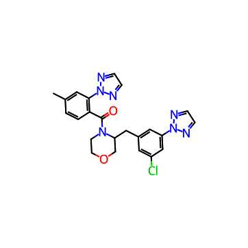 Cc1ccc(C(=O)N2CCOCC2Cc2cc(Cl)cc(-n3nccn3)c2)c(-n2nccn2)c1